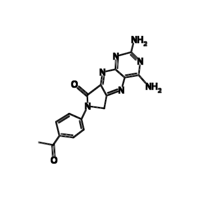 CC(=O)c1ccc(N2Cc3nc4c(N)nc(N)nc4nc3C2=O)cc1